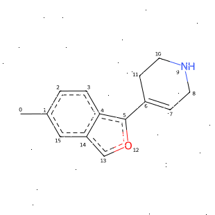 Cc1ccc2c(C3=CCNCC3)occ2c1